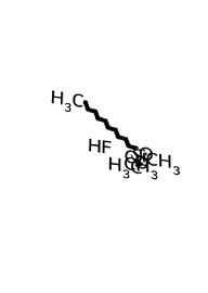 CCCCCCCCCCCC[Si](OC)(OC)OC.F